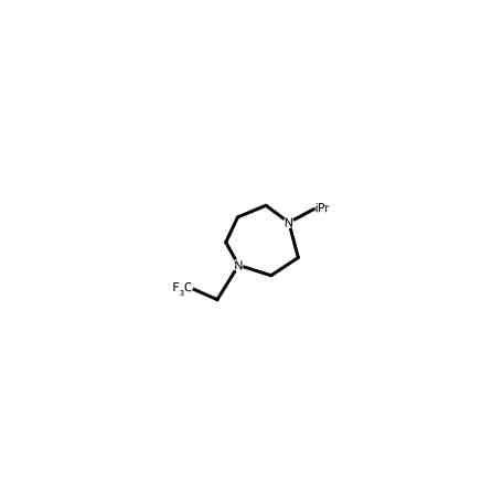 CC(C)N1CCCN(CC(F)(F)F)CC1